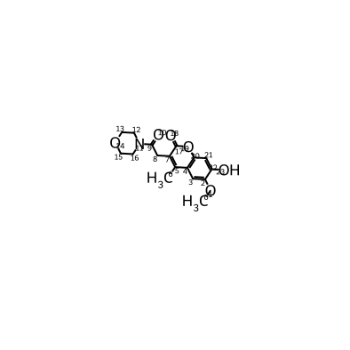 COc1cc2c(C)c(CC(=O)N3CCOCC3)c(=O)oc2cc1O